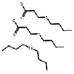 CCCCSCCC(=O)[O-].CCCCSCCC(=O)[O-].CCC[CH2][Sn+2][CH2]CCC